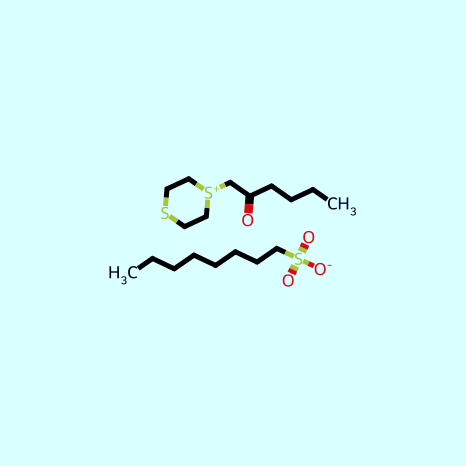 CCCCC(=O)C[S+]1CCSCC1.CCCCCCCCS(=O)(=O)[O-]